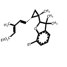 CCOC(=O)C=C(C)C=C[C@@H]1C[C@]1(C)C1Oc2c(CC)cccc2C1(C)C